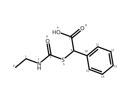 CCNC(=O)SC(C(=O)O)c1ccccc1